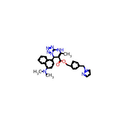 CC1=C(C(=O)OCc2ccc(Cn3cccn3)cc2)C(c2ccc(N(C)C)c3ccccc23)n2nnnc2N1